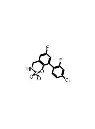 O=S1(=O)NCc2cc(F)cc(-c3ccc(Cl)cc3F)c2O1